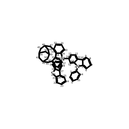 c1ccc(-n2c3ccccc3c3ccc(N(c4ccc5sc6ccccc6c5c4)c4cccc5c4-c4ccccc4CC4CC6CC(C5)CC(C4)C6)cc32)cc1